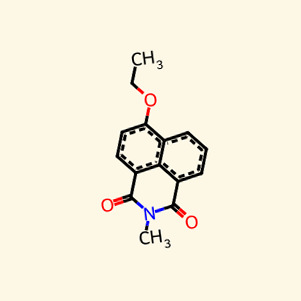 CCOc1ccc2c3c(cccc13)C(=O)N(C)C2=O